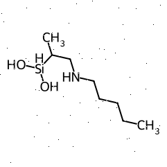 CCCCCNCC(C)[SiH](O)O